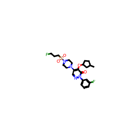 CC1CCC(Oc2c(N3CCN(S(=O)(=O)CCCF)CC3)cnn(-c3cccc(F)c3)c2=O)C1